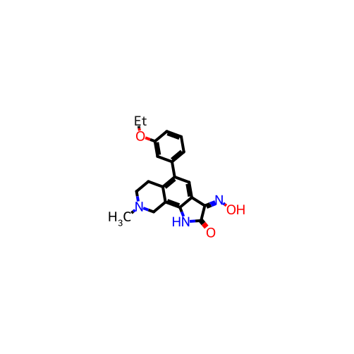 CCOc1cccc(-c2cc3c(c4c2CCN(C)C4)NC(=O)/C3=N\O)c1